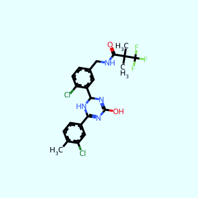 Cc1ccc(C2=NC(O)=NC(c3cc(CNC(=O)C(C)(C)C(F)(F)F)ccc3Cl)N2)cc1Cl